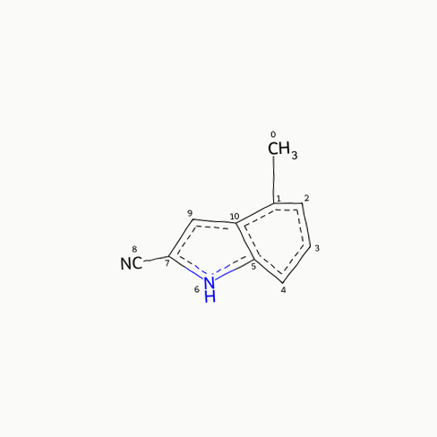 Cc1cccc2[nH]c(C#N)cc12